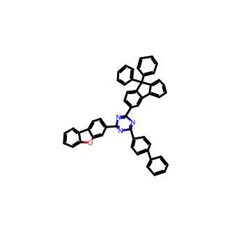 c1ccc(-c2ccc(-c3nc(-c4ccc5c(c4)-c4ccccc4C5(c4ccccc4)c4ccccc4)nc(-c4ccc5c(c4)oc4ccccc45)n3)cc2)cc1